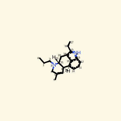 CCCN1CC(C)=C[C@@H]2c3cccc4[nH]c(CC)c(c34)C[C@H]21